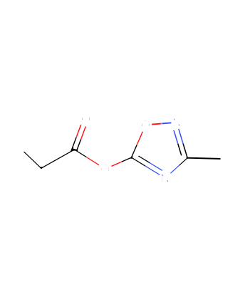 CCC(=O)Oc1nc(C)no1